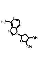 Nc1ncnc2c1ncn2C1CC(O)C(O)O1